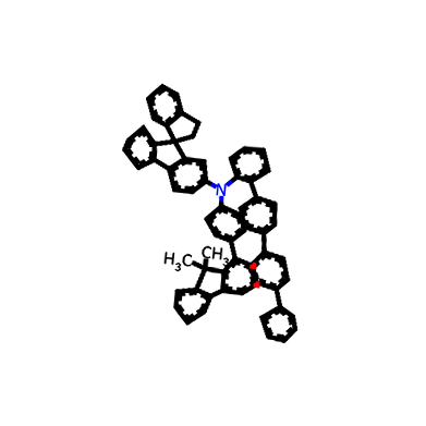 CC1(C)c2ccccc2-c2cccc(-c3ccc(N(c4ccc5c(c4)C4(CCc6ccccc64)c4ccccc4-5)c4ccccc4-c4ccc(-c5ccc(-c6ccccc6)cc5)cc4)cc3)c21